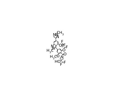 COc1cc(-c2c3c(OC(F)F)cc(-c4cnn(C)n4)cc3nn2C)cc(OC(F)F)c1C(=O)N1CC(O)(C(F)F)C1